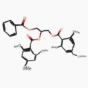 COc1cc(OC)c(C(=O)OCC(COC(=O)c2ccccc2)OC(=O)c2c(OC)cc(OC)cc2OC)c(OC)c1